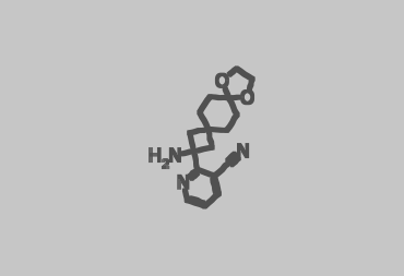 N#Cc1cccnc1C1(N)CC2(CCC3(CC2)OCCO3)C1